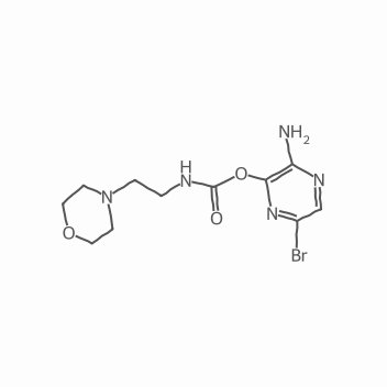 Nc1ncc(Br)nc1OC(=O)NCCN1CCOCC1